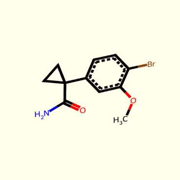 COc1cc(C2(C(N)=O)CC2)ccc1Br